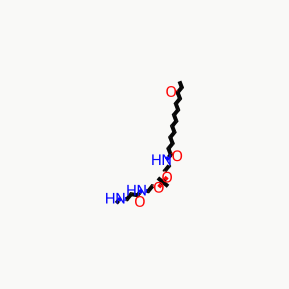 CCC(=O)CCCCCCCCCCC(=O)NCCOC(C)(C)OCCNC(=O)CCNC